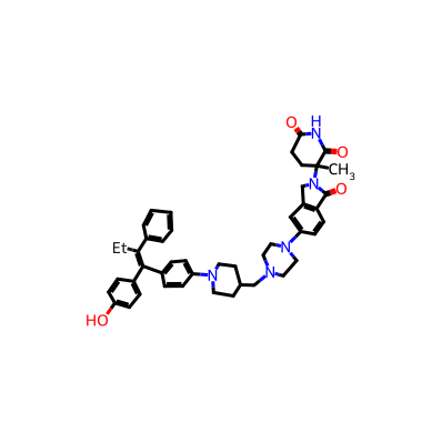 CCC(=C(c1ccc(O)cc1)c1ccc(N2CCC(CN3CCN(c4ccc5c(c4)CN(C4(C)CCC(=O)NC4=O)C5=O)CC3)CC2)cc1)c1ccccc1